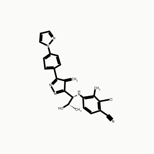 C=C1C(c2ccc(-n3cccn3)cc2)=NN=C1[C@H](Nc1ccc(C#N)c(Cl)c1C)[C@H](C)O